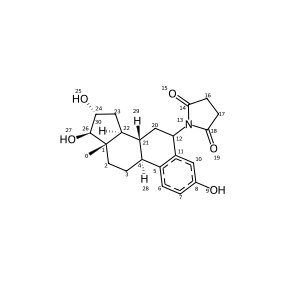 C[C@]12CC[C@@H]3c4ccc(O)cc4C(N4C(=O)CCC4=O)C[C@H]3[C@@H]1C[C@@H](O)[C@@H]2O